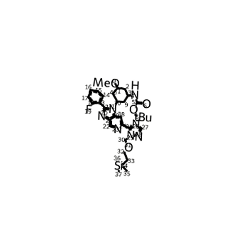 COC1CC(NC(=O)OC(C)(C)C)CC(n2c(-c3ccccc3F)nc3cnc(-c4ncnn4COCC[Si](C)(C)C)cc32)C1